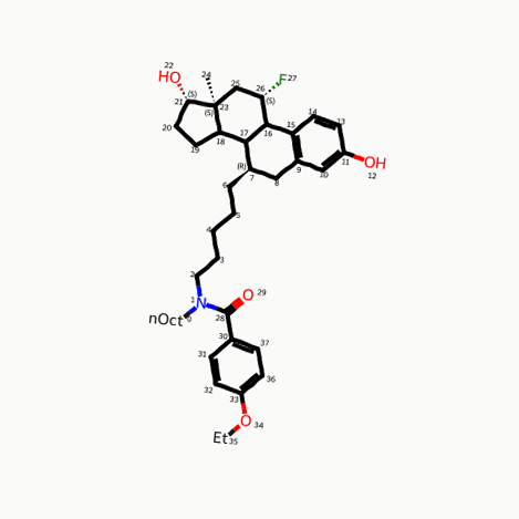 CCCCCCCCN(CCCCC[C@@H]1Cc2cc(O)ccc2C2C1C1CC[C@H](O)[C@@]1(C)C[C@@H]2F)C(=O)c1ccc(OCC)cc1